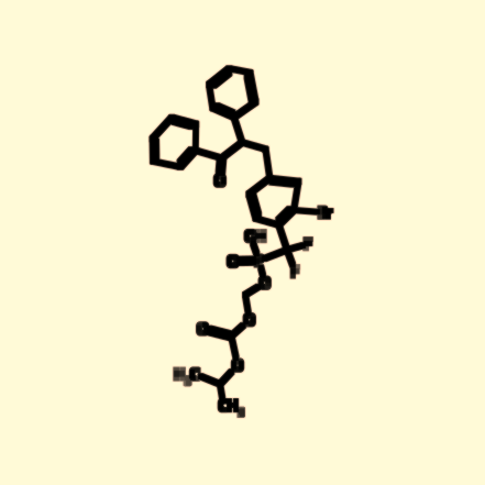 CC(C)OC(=O)OCOP(=O)(O)C(F)(F)c1ccc(CC(C(=O)c2ccccc2)c2ccccc2)cc1Br